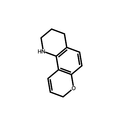 C1=Cc2c(ccc3c2NCCC3)OC1